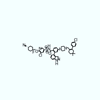 CC1(C)CCC(CN2CCN(c3ccc(C(=O)NS(=O)(=O)c4cnc(OC[C@]5(F)CC[C@@H](C#N)CC5)c(Cl)c4)c(-c4cccc5[nH]ncc45)c3)CC2)=C(c2ccc(Cl)cc2)C1